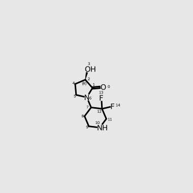 O=C1[C@H](O)CCN1C1CCNCC1(F)F